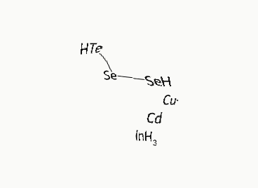 [Cd].[Cu].[InH3].[SeH][Se][TeH]